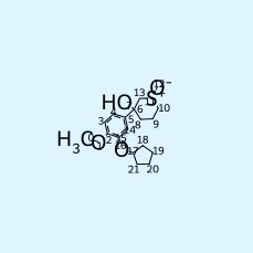 COc1ccc(C2(O)CCC[S+]([O-])C2)cc1OC1CCCC1